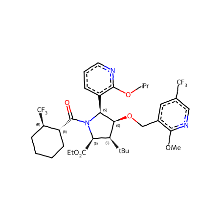 CCOC(=O)[C@@H]1[C@H](C(C)(C)C)[C@H](OCc2cc(C(F)(F)F)cnc2OC)[C@H](c2cccnc2OC(C)C)N1C(=O)[C@@H]1CCCC[C@H]1C(F)(F)F